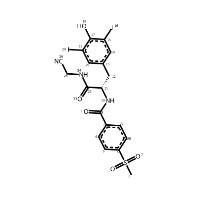 CS(=O)(=O)c1ccc(C(=O)N[C@@H](Cc2cc(I)c(O)c(I)c2)C(=O)NCC#N)cc1